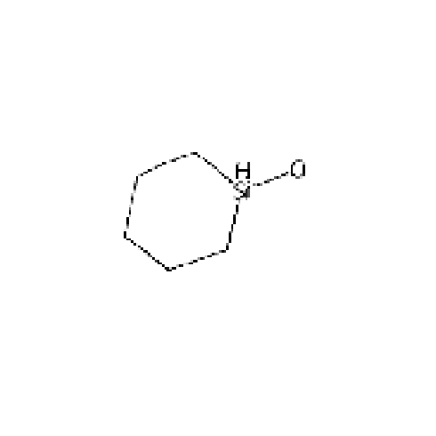 [O][SiH]1CCCCC1